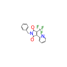 O=C1C(c2ccccn2)=C(C(F)(F)F)C(=O)N1Cc1ccccc1